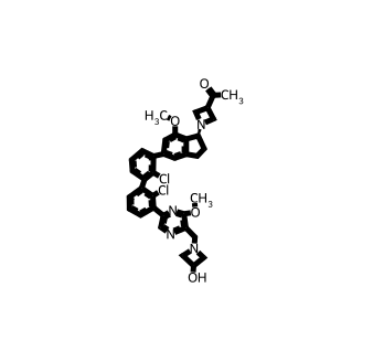 COc1cc(-c2cccc(-c3cccc(-c4cnc(CN5CC(O)C5)c(OC)n4)c3Cl)c2Cl)cc2c1[C@@H](N1CC(C(C)=O)C1)CC2